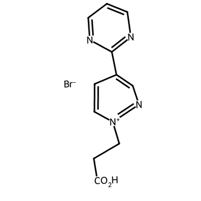 O=C(O)CC[n+]1ccc(-c2ncccn2)cn1.[Br-]